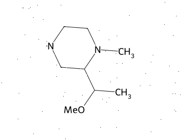 COC(C)C1C[N]CCN1C